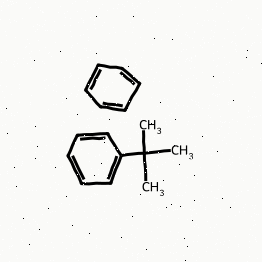 CC(C)(C)c1ccccc1.c1ccccc1